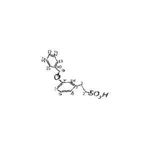 O=S(=O)(O)CCc1cccc(OCc2ccccc2)c1